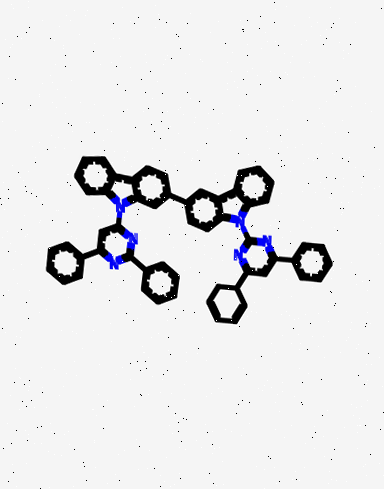 C1=CCC(c2cc(-c3ccccc3)nc(-n3c4ccccc4c4cc(-c5ccc6c7ccccc7n(-c7cc(-c8ccccc8)nc(-c8ccccc8)n7)c6c5)ccc43)n2)C=C1